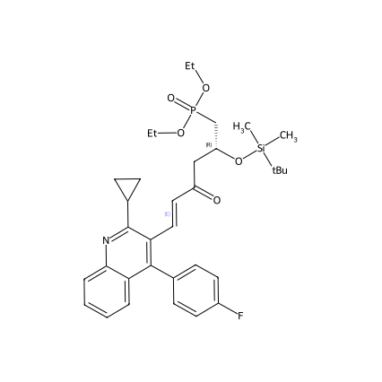 CCOP(=O)(C[C@@H](CC(=O)/C=C/c1c(C2CC2)nc2ccccc2c1-c1ccc(F)cc1)O[Si](C)(C)C(C)(C)C)OCC